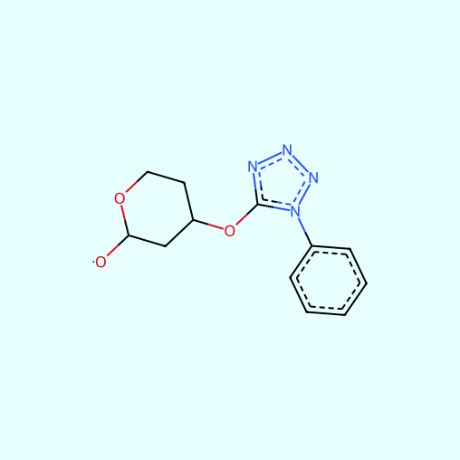 [O]C1CC(Oc2nnnn2-c2ccccc2)CCO1